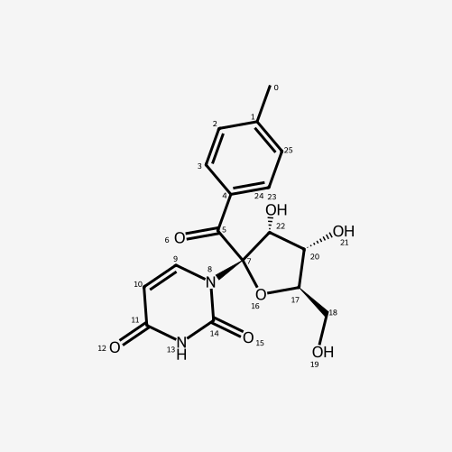 Cc1ccc(C(=O)[C@@]2(n3ccc(=O)[nH]c3=O)O[C@H](CO)[C@@H](O)[C@H]2O)cc1